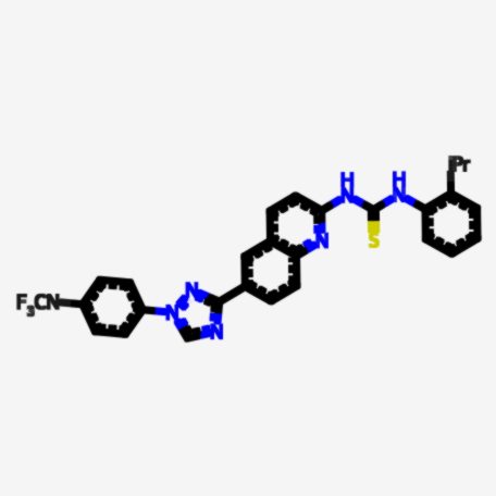 CC(C)c1ccccc1NC(=S)Nc1ccc2cc(-c3ncn(-c4ccc(NC(F)(F)F)cc4)n3)ccc2n1